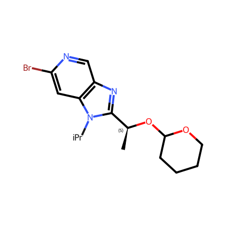 CC(C)n1c([C@H](C)OC2CCCCO2)nc2cnc(Br)cc21